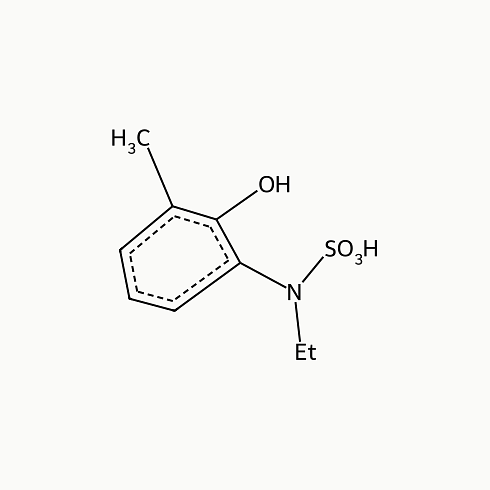 CCN(c1cccc(C)c1O)S(=O)(=O)O